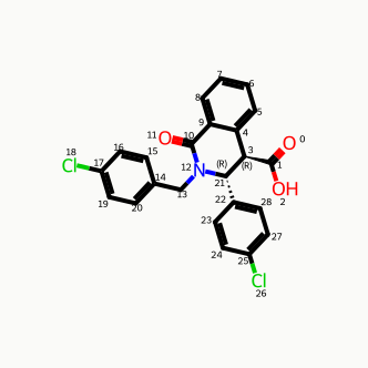 O=C(O)[C@@H]1c2ccccc2C(=O)N(Cc2ccc(Cl)cc2)[C@H]1c1ccc(Cl)cc1